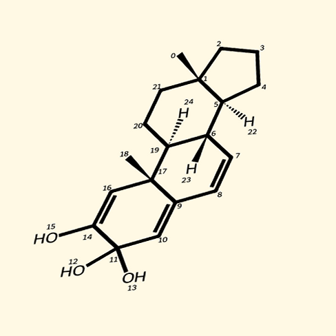 C[C@@]12CCC[C@H]1[C@@H]1C=CC3=CC(O)(O)C(O)=C[C@]3(C)[C@H]1CC2